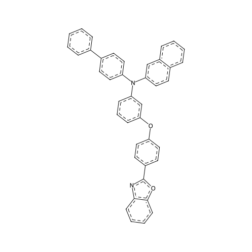 c1ccc(-c2ccc(N(c3cccc(Oc4ccc(-c5nc6ccccc6o5)cc4)c3)c3ccc4ccccc4c3)cc2)cc1